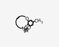 Cc1ccc2c(c1)OCCC=CCCCCN(C(C)C)S2(=O)=O